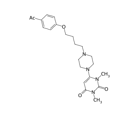 CC(=O)c1ccc(OCCCCN2CCN(c3cc(=O)n(C)c(=O)n3C)CC2)cc1